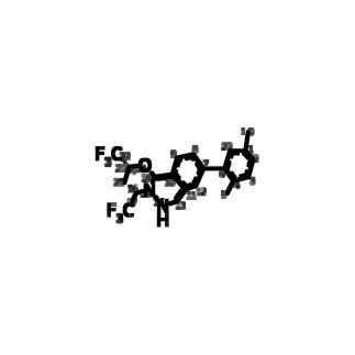 [CH]c1ccc(C)c(-c2ccc3c(c2)=CNN(CC(F)(F)F)C=3O[C@H](C)C(F)(F)F)c1